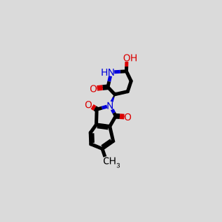 Cc1ccc2c(c1)C(=O)N([C@@H]1CCC(O)NC1=O)C2=O